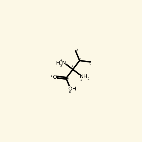 CC(C)C(N)(N)C(=O)O